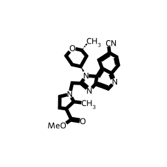 COC(=O)C1CCN(Cc2nc3cnc4ccc(C#N)cc4c3n2[C@@H]2CCO[C@H](C)C2)C1C